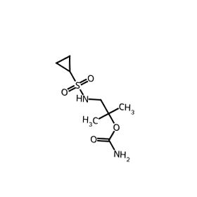 CC(C)(CNS(=O)(=O)C1CC1)OC(N)=O